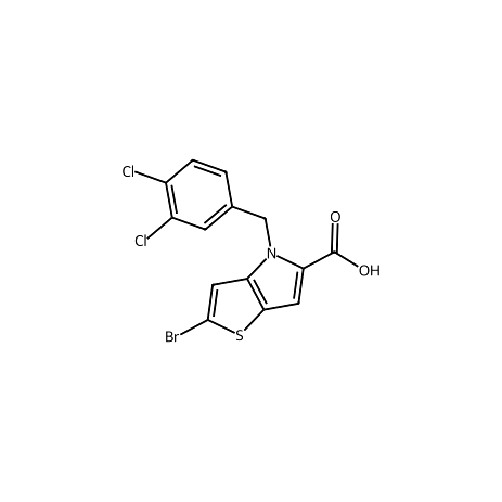 O=C(O)c1cc2sc(Br)cc2n1Cc1ccc(Cl)c(Cl)c1